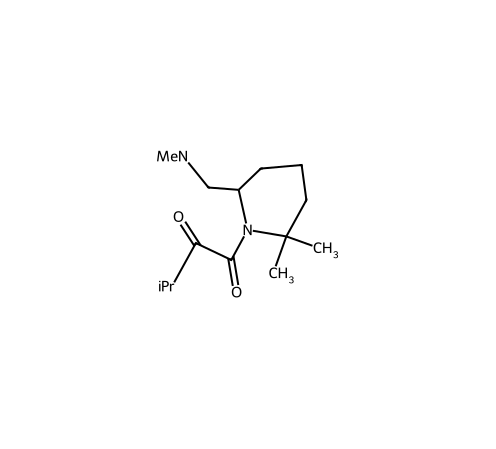 CNCC1CCCC(C)(C)N1C(=O)C(=O)C(C)C